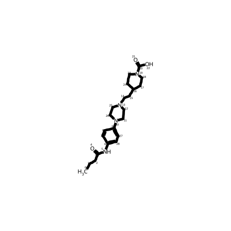 CCCC(=O)Nc1ccc(N2CCN(CCC3CCN(C(=O)O)CC3)CC2)cc1